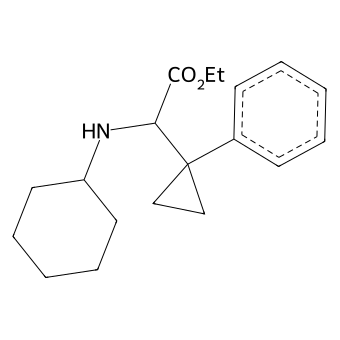 CCOC(=O)C(NC1CCCCC1)C1(c2ccccc2)CC1